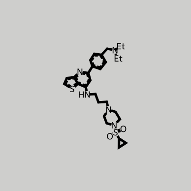 CCN(CC)Cc1ccc(-c2cc(NCCCN3CCN(S(=O)(=O)C4CC4)CC3)c3sccc3n2)cc1